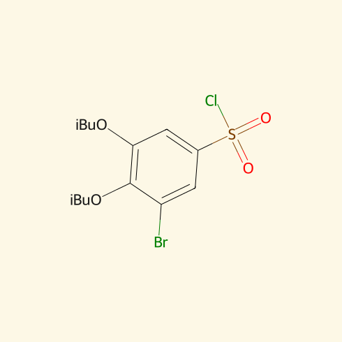 CC(C)COc1cc(S(=O)(=O)Cl)cc(Br)c1OCC(C)C